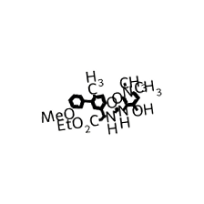 CCOC(=O)CC(NC(=O)Nc1c(O)cc(C)n(C)c1=O)c1ccc(C)c(-c2cccc(OC)c2)c1